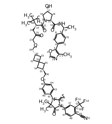 Cc1ncoc1-c1ccc([C@H](C)NC(=O)[C@@H]2C[C@@H](O)CN2C(=O)[C@@H](CC(=O)COC[C@H]2CC3(C2)C[C@H](COc2ccc(N4C(=S)N(c5ccc(C#N)c(C(F)(F)F)c5)C(=O)C4(C)C)cc2)C3)C(C)(C)C)cc1